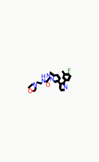 Cc1cc(-c2ncccc2-c2ccc3cnc(C(=O)NCCN4CCOCC4)n3c2)ccc1F